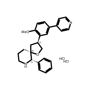 COc1ccc(-c2ccncc2)cc1[C@H]1CO[C@]2(CCCN[C@H]2c2ccccc2)C1.Cl.Cl